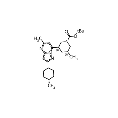 Cc1cc([C@@H]2C[C@H](C)CN(C(=O)OC(C)(C)C)C2)n2nc([C@H]3CC[C@H](C(F)(F)F)CC3)cc2n1